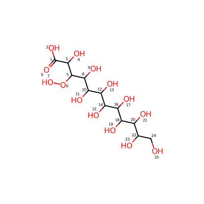 O=C(O)C(O)C(OO)C(O)C(O)C(O)C(O)C(O)C(O)C(O)C(O)CO